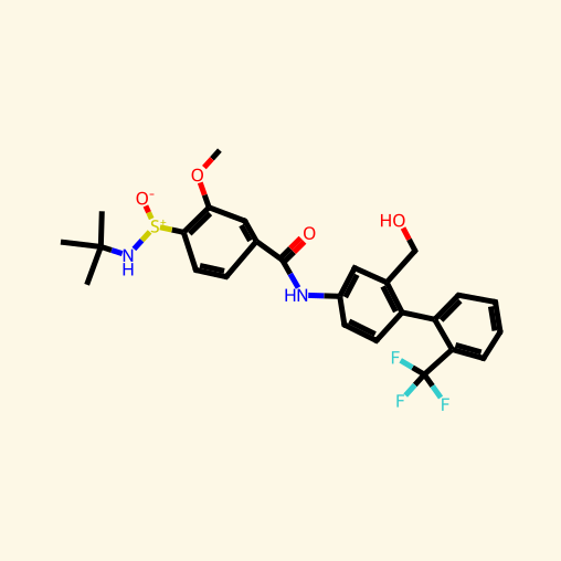 COc1cc(C(=O)Nc2ccc(-c3ccccc3C(F)(F)F)c(CO)c2)ccc1[S+]([O-])NC(C)(C)C